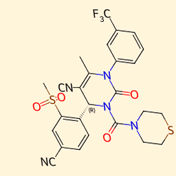 [C-]#[N+]C1=C(C)N(c2cccc(C(F)(F)F)c2)C(=O)N(C(=O)N2CCSCC2)[C@@H]1c1ccc(C#N)cc1S(C)(=O)=O